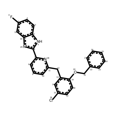 Fc1ccc2[nH]c(-c3cccc(Cc4cc(Cl)ccc4OCc4ccccc4)n3)nc2c1